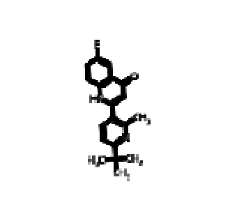 Cc1nc(C(C)(C)C)ccc1-c1cc(=O)c2cc(F)ccc2[nH]1